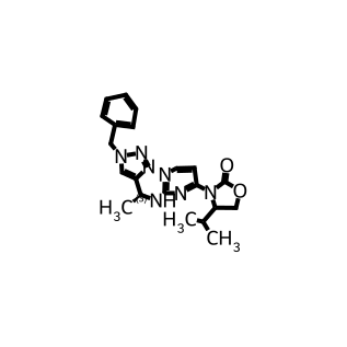 CC(C)C1COC(=O)N1c1ccnc(N[C@@H](C)c2cn(Cc3ccccc3)nn2)n1